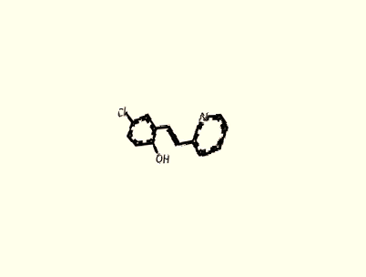 Oc1ccc(Cl)cc1/C=C/c1ccccn1